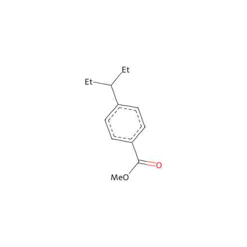 CCC(CC)c1ccc(C(=O)OC)cc1